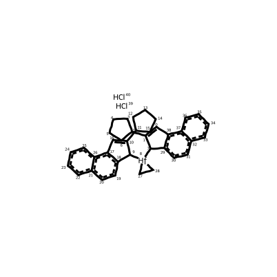 C1=C(C2CCCC2)[CH]([Hf]2([CH]3C(C4CCCC4)=Cc4c3ccc3ccccc43)[CH2][CH2]2)c2ccc3ccccc3c21.Cl.Cl